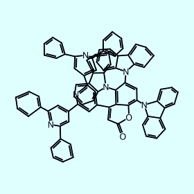 O=c1cc(-c2cc(-c3cc(-c4ccccc4)nc(-c4ccccc4)c3)nc(-c3cc(-c4ccccc4)nc(-c4ccccc4)c3)c2)c2c(-n3c4ccccc4c4ccccc43)c(-n3c4ccccc4c4ccccc43)cc(-n3c4ccccc4c4ccccc43)c2o1